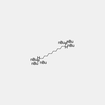 CCCC[PH](CCCC)(CCCC)CCCCCCCCCCCC[PH](CCCC)(CCCC)CCCC